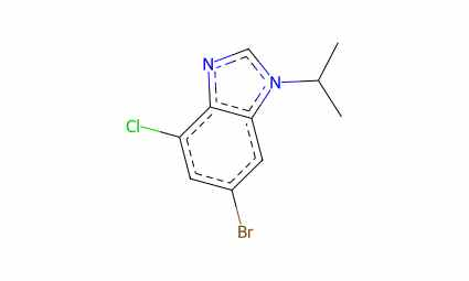 CC(C)n1cnc2c(Cl)cc(Br)cc21